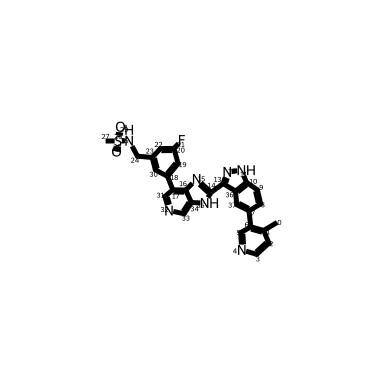 Cc1ccncc1-c1ccc2[nH]nc(-c3nc4c(-c5cc(F)cc(CNS(C)(=O)=O)c5)cncc4[nH]3)c2c1